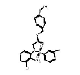 COc1ccc(CNC(=O)CN(c2cccc(Cl)c2C)S(=O)(=O)c2cccc(Cl)c2)cc1